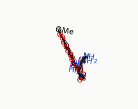 COCCOCCOCCOCCOCCOCCOCCOCCNC(=O)CCC(NC(=O)CCCN1C(=O)C=CC1=O)C(=O)NCCCC(=O)NCCN